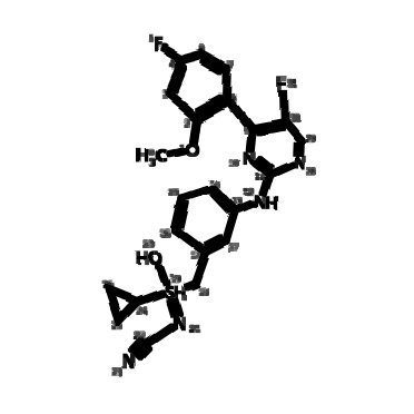 COc1cc(F)ccc1-c1nc(Nc2cccc(C[SH](O)(=NC#N)C3CC3)c2)ncc1F